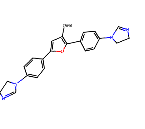 COc1cc(-c2ccc(N3C=NCC3)cc2)oc1-c1ccc(N2C=NCC2)cc1